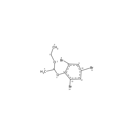 C[CH]OC(C)Oc1c(Br)cc(Br)cc1Br